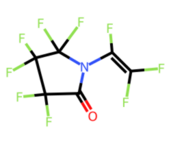 O=C1N(C(F)=C(F)F)C(F)(F)C(F)(F)C1(F)F